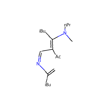 C=C(/N=C\C(C(C)=O)=C(/C(C)CC)N(C)CCC)C(C)CC